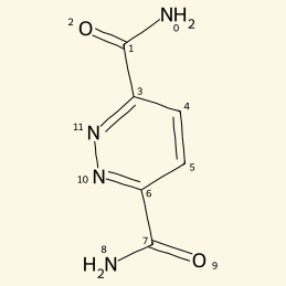 NC(=O)c1ccc(C(N)=O)nn1